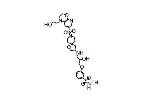 CNS(=O)(=O)c1cccc(OCC(O)CN[C@H]2COC3(CCN(S(=O)(=O)c4cnc5c(c4)N(CCO)CCO5)CC3)C2)c1